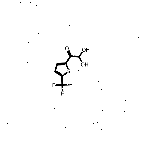 O=C(c1ccc(C(F)(F)F)s1)C(O)O